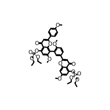 CCOP(=O)(OCC)Oc1cc(OC)cc2oc(-c3ccc(OC)c(-c4c(OC)cc(OP(=O)(OCC)OCC)c5c(=O)cc(-c6ccc(OC)cc6)oc45)c3)cc(=O)c12